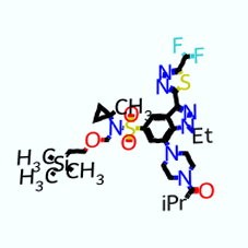 CCn1nc(-c2nnc(C(F)F)s2)c2cc(S(=O)(=O)N(COCC[Si](C)(C)C)C3(C)CC3)cc(N3CCN(C(=O)C(C)C)CC3)c21